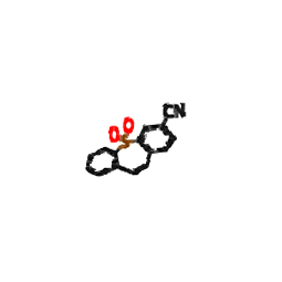 N#Cc1ccc2c(c1)S(=O)(=O)c1ccccc1C=C2